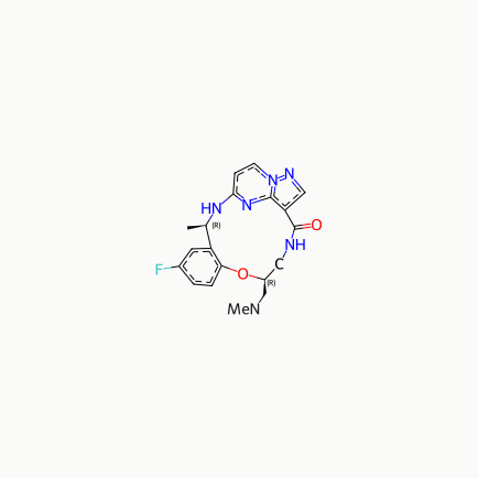 CNC[C@@H]1CNC(=O)c2cnn3ccc(nc23)N[C@H](C)c2cc(F)ccc2O1